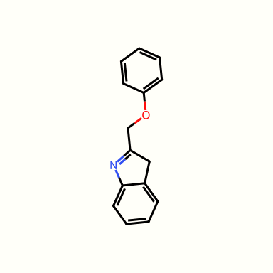 c1ccc(OCC2=Nc3ccccc3C2)cc1